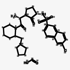 C[C@@H](C(=O)N1CCCCC1CN1CCCC1)N1CC[C@H](NS(=O)(=O)c2ccc3cc(Cl)ccc3c2)C1=O.O=CO